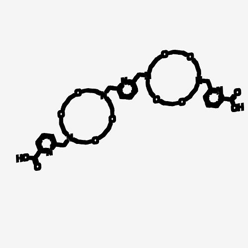 O=C(O)c1cccc(CN2CCOCCOCCN(Cc3cccc(CN4CCOCCOCCN(Cc5cccc(C(=O)O)n5)CCOCCOCC4)n3)CCOCCOCC2)n1